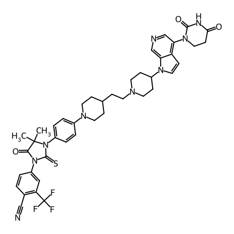 CC1(C)C(=O)N(c2ccc(C#N)c(C(F)(F)F)c2)C(=S)N1c1ccc(N2CCC(CCN3CCC(n4ccc5c(N6CCC(=O)NC6=O)cncc54)CC3)CC2)cc1